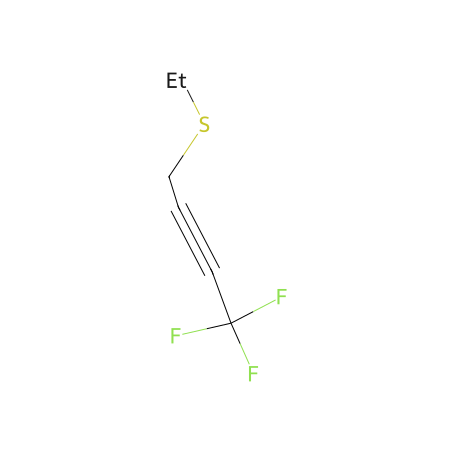 [CH2]CSCC#CC(F)(F)F